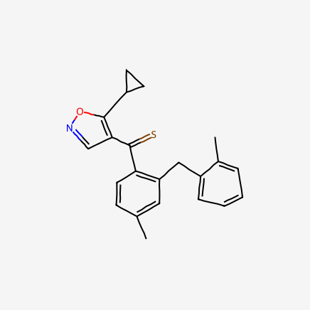 Cc1ccc(C(=S)c2cnoc2C2CC2)c(Cc2ccccc2C)c1